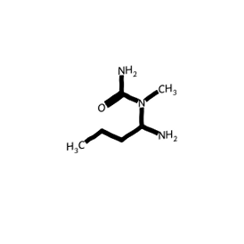 CCCC(N)N(C)C(N)=O